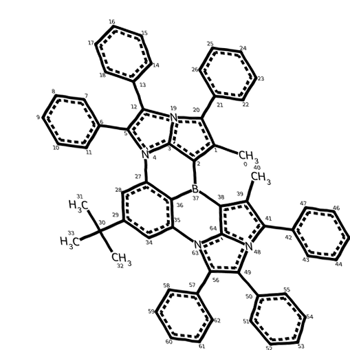 Cc1c2c3n(c(-c4ccccc4)c(-c4ccccc4)n3c1-c1ccccc1)-c1cc(C(C)(C)C)cc3c1B2c1c(C)c(-c2ccccc2)n2c(-c4ccccc4)c(-c4ccccc4)n-3c12